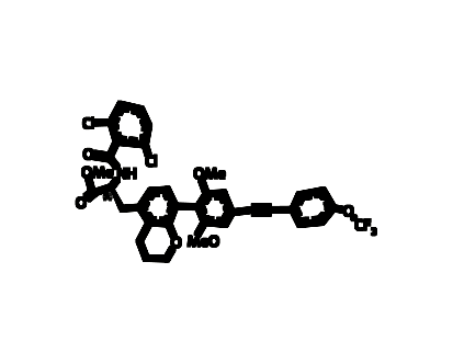 COC(=O)[C@H](Cc1ccc(-c2c(OC)cc(C#Cc3ccc(OC(F)(F)F)cc3)cc2OC)c2c1CCCO2)NC(=O)c1c(Cl)cccc1Cl